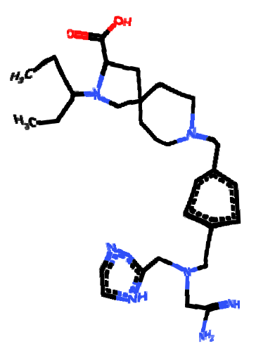 CCC(CC)N1CC2(CCN(Cc3ccc(CN(CC(=N)N)Cc4ncc[nH]4)cc3)CC2)CC1C(=O)O